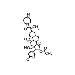 CC(=O)OC1C(c2ccc(=O)oc2)C2(CO)CCC3C(CCC4CC(N(C)C(=O)N5CCCNCC5)CCC43C)C23OC13